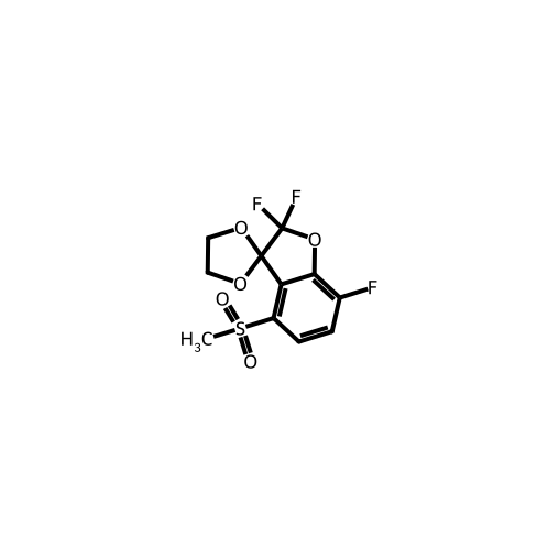 CS(=O)(=O)c1ccc(F)c2c1C1(OCCO1)C(F)(F)O2